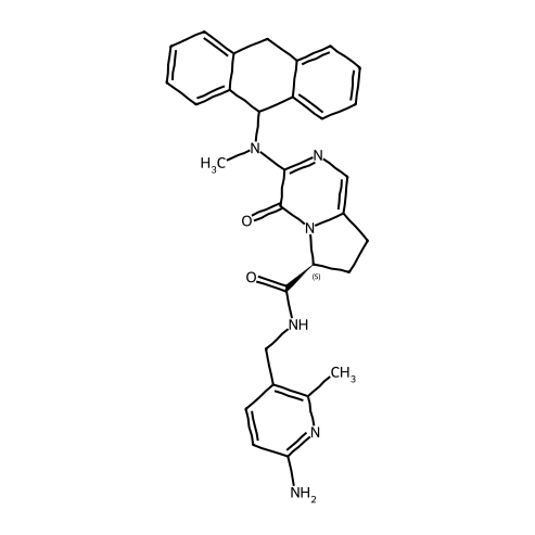 Cc1nc(N)ccc1CNC(=O)[C@@H]1CCc2cnc(N(C)C3c4ccccc4Cc4ccccc43)c(=O)n21